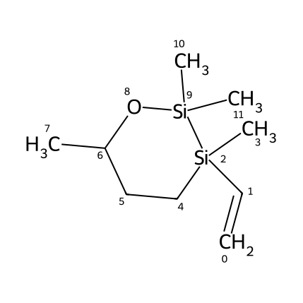 C=C[Si]1(C)CCC(C)O[Si]1(C)C